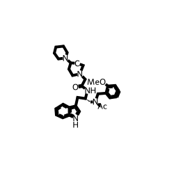 COc1cc#ccc1CN(C[C@H](Cc1c[nH]c2ccccc12)NC(=O)CN1CCC(N2CCCCC2)CC1)C(C)=O